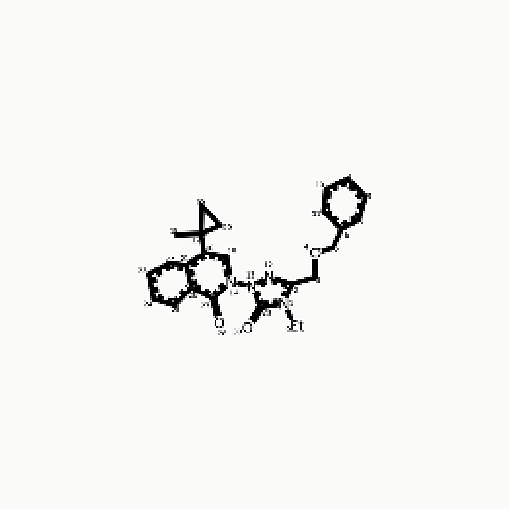 CCn1c(COCc2ccccc2)nn(-n2cc(C3(C)CC3)c3ccccc3c2=O)c1=O